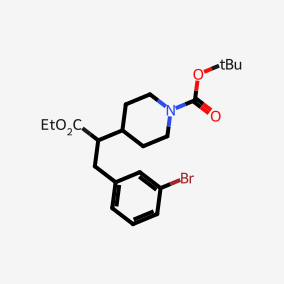 CCOC(=O)C(Cc1cccc(Br)c1)C1CCN(C(=O)OC(C)(C)C)CC1